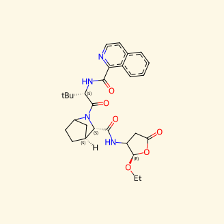 CCO[C@@H]1OC(=O)CC1NC(=O)[C@@H]1[C@H]2CCC(C2)N1C(=O)[C@@H](NC(=O)c1nccc2ccccc12)C(C)(C)C